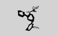 COC(=O)Nc1ccc(-c2cccc(O)c2)cc1-c1ccccc1